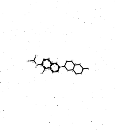 CC1CCC2CC(c3ccc4c(F)c(OC(F)F)ccc4c3)CCC2C1